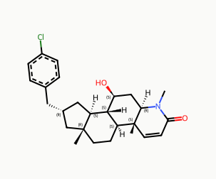 CN1C(=O)C=C[C@]2(C)[C@H]3CC[C@]4(C)C[C@H](Cc5ccc(Cl)cc5)C[C@H]4[C@@H]3[C@@H](O)C[C@@H]12